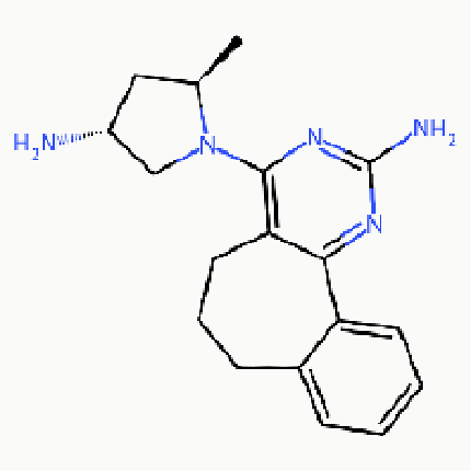 C[C@@H]1C[C@@H](N)CN1c1nc(N)nc2c1CCCc1ccccc1-2